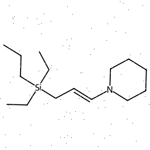 CCC[Si](CC)(CC)CC=CN1CCCCC1